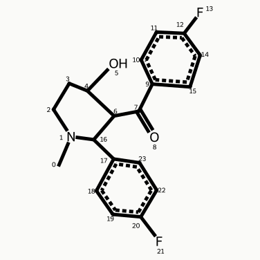 CN1CCC(O)C(C(=O)c2ccc(F)cc2)C1c1ccc(F)cc1